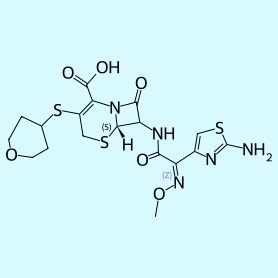 CO/N=C(\C(=O)NC1C(=O)N2C(C(=O)O)=C(SC3CCOCC3)CS[C@@H]12)c1csc(N)n1